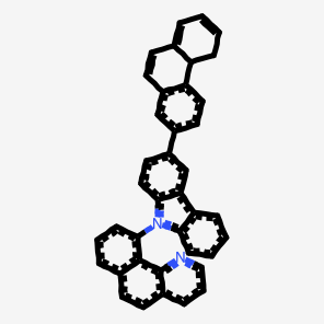 C1=CCC2C(=C1)C=Cc1cc(-c3ccc4c(c3)c3ccccc3n4-c3cccc4ccc5cccnc5c34)ccc12